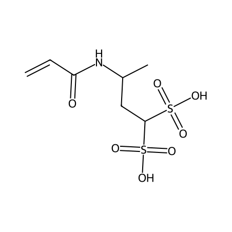 C=CC(=O)NC(C)CC(S(=O)(=O)O)S(=O)(=O)O